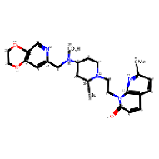 COc1ccc2ccc(=O)n(CCN3CCC(N(Cc4cc5c(cn4)OCCO5)C(=O)O)CC3C(C)(C)C)c2n1